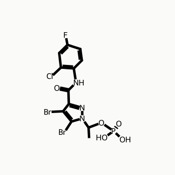 CC(OP(=O)(O)O)n1nc(C(=O)Nc2ccc(F)cc2Cl)c(Br)c1Br